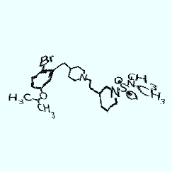 CC(C)Oc1ccc(Br)c(CC2CCN(CCC3CCCN(S(=O)(=O)N(C)C)C3)CC2)c1